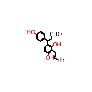 CC(C)CCc1c(O)ccc(C(CC=O)c2ccc(O)cc2)c1O